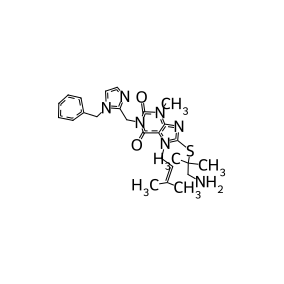 CC(C)=CCn1c(SC(C)(C)CN)nc2c1c(=O)n(Cc1nccn1Cc1ccccc1)c(=O)n2C